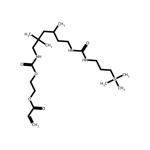 C=CC(=O)OCCOC(=O)NCC(C)(C)CC(C)CCNC(=O)NCCC[Si](C)(C)C